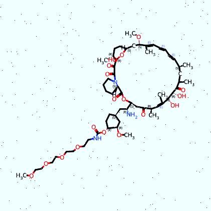 COCCOCCOCCOCCNC(=O)O[C@@H]1CC[C@@H](C[C@@H](N)[C@@H]2CC(=O)[C@H](C)/C=C(\C)[C@@H](O)[C@@H](O)C(=O)C(C)C[C@H](C)/C=C/C=C/C=C(\C)[C@@H](OC)C[C@@H]3CC[C@@H](C)[C@@](O)(O3)C(=O)C(=O)N3CCCC[C@H]3C(=O)O2)C[C@H]1OC